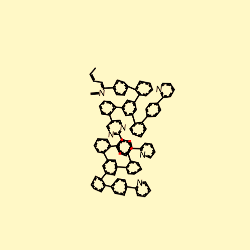 C=N/C(=C\C=C/C)c1ccc(-c2ccccc2-c2cc(-c3ccccc3-c3ccc(-c4ccccn4)cc3)cc(-c3ccccc3-c3cnc(-c4ccc(-c5ccccc5-c5cc(-c6ccccc6-c6ccc(-c7ccccn7)cc6)cc(-c6ccccc6-c6ccc(-c7ccccn7)cc6)c5)cc4)nc3)c2)cc1